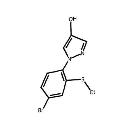 CCSc1cc(Br)ccc1-n1cc(O)cn1